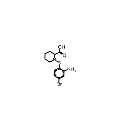 Nc1cc(Br)ccc1SN1CCCCC1C(=O)O